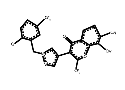 O=c1c(-c2cnn(Cc3cc(C(F)(F)F)ccc3Cl)c2)c(C(F)(F)F)oc2c(O)c(O)ccc12